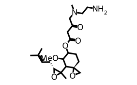 COC1C(OC(=O)CC(=O)CN(C)CCN)CC[C@]2(CO2)C1C1(C)O[C@@H]1CC=C(C)C